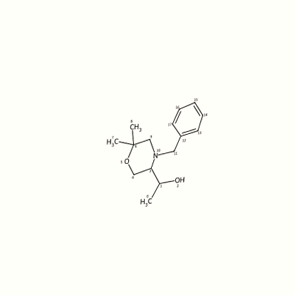 CC(O)C1COC(C)(C)CN1Cc1ccccc1